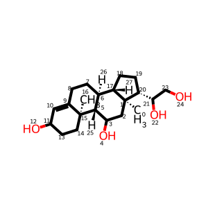 C[C@]12CC(O)[C@H]3[C@@H](CCC4=CC(O)CC[C@@]43C)[C@@H]1CC[C@@H]2C(O)CO